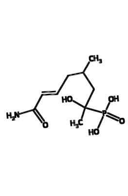 CC(CC=CC(N)=O)CC(C)(O)P(=O)(O)O